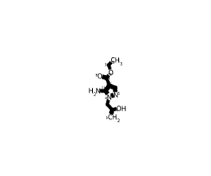 C=C(O)Cn1ncc(C(=O)OCC)c1N